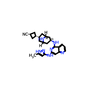 Cc1cc(Nc2cc3ncccc3c(N[C@@H]3C[C@H]4CC([C@H]5C[C@@H](C#N)C5)C[C@@H](C3)N4)n2)n[nH]1